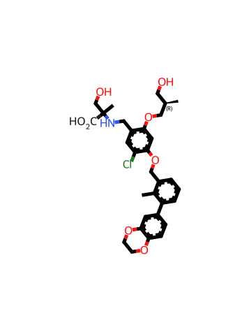 Cc1c(COc2cc(OC[C@H](C)CO)c(CNC(C)(CO)C(=O)O)cc2Cl)cccc1-c1ccc2c(c1)OCCO2